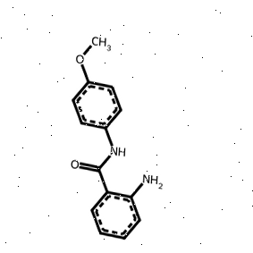 COc1ccc(NC(=O)c2ccccc2N)cc1